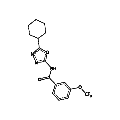 O=C(Nc1nnc(C2CCCCC2)o1)c1cccc(OC(F)(F)F)c1